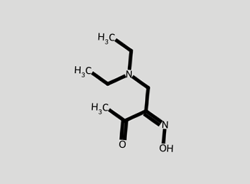 CCN(CC)C/C(=N/O)C(C)=O